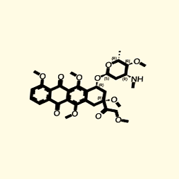 CN[C@@H]1C[C@@H](O[C@@H]2C[C@@](OC)(C(=O)COC)Cc3c(OC)c4c(c(OC)c32)C(=O)c2c(OC)cccc2C4=O)O[C@H](C)[C@@H]1OC